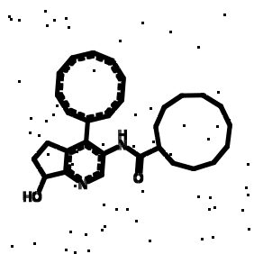 O=C(Nc1cnc2c(c1-c1ccccccccc1)CCC2O)C1CCCCCCCCCC1